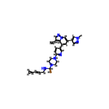 Cn1cc(-c2cc(-c3ccc(N4CCN(C(=S)NCC#CC5CC5)CC4)nc3)c3c(C#N)cnn3c2)cn1